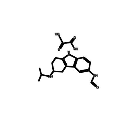 CC(C)NC1CCc2[nH]c3ccc(NC=O)cc3c2C1.O=C(O)C(=O)O